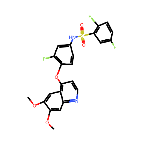 COc1cc2nccc(Oc3ccc(NS(=O)(=O)c4cc(F)ccc4F)cc3F)c2cc1OC